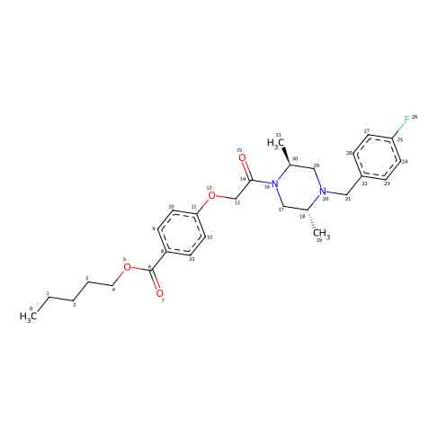 CCCCCOC(=O)c1ccc(OCC(=O)N2C[C@@H](C)N(Cc3ccc(F)cc3)C[C@@H]2C)cc1